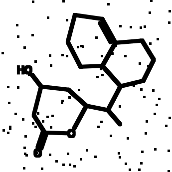 CC(C1CC(O)CC(=O)O1)C1CCCC2=CCCCC21